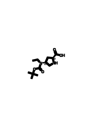 CCN(C(=O)OC(C)(C)C)[C@H]1CN[C@H](C(=O)O)C1